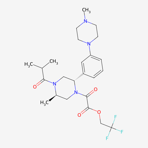 CC(C)C(=O)N1C[C@H](c2cccc(N3CCN(C)CC3)c2)N(C(=O)C(=O)OCC(F)(F)F)C[C@H]1C